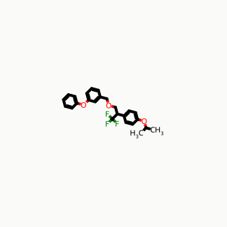 CC(C)Oc1ccc(C(COCc2cccc(Oc3ccccc3)c2)C(F)(F)F)cc1